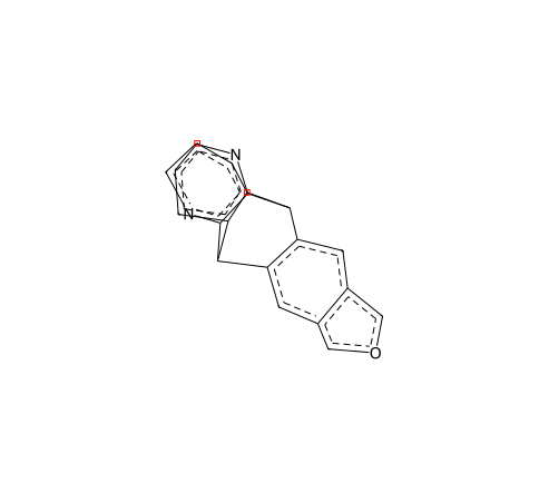 c1ccc2c(c1)C1c3cc4cocc4cc3C2c2nccnc21